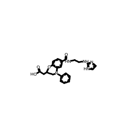 O=C(O)CC1CN(c2ccccc2)c2cc(C(=O)NCCNc3ncc[nH]3)ccc2O1